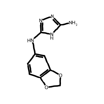 Nc1nnc(Nc2ccc3c(c2)OCO3)[nH]1